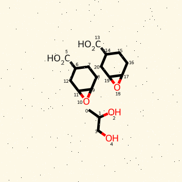 CC(O)CO.O=C(O)C1CCC2OC2C1.O=C(O)C1CCC2OC2C1